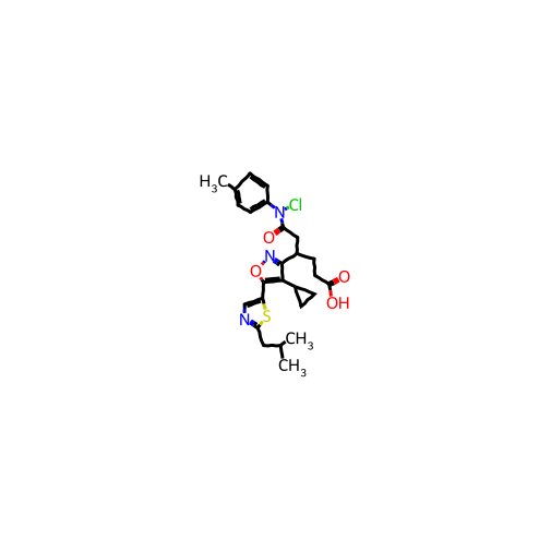 Cc1ccc(N(Cl)C(=O)CC(CCC(=O)O)c2noc(-c3cnc(CC(C)C)s3)c2C2CC2)cc1